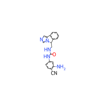 N#Cc1ccc(NC(=O)NCC2c3ccccc3-c3cncn32)cc1N